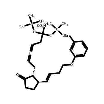 CC(C)(C)[Si](C)(C)OC(CC=C=CC[C@H]1C(=O)CC[C@@H]1/C=C/CCOc1cccc(Cl)c1)(O[Si](C)(C)C(C)(C)C)C(=O)O